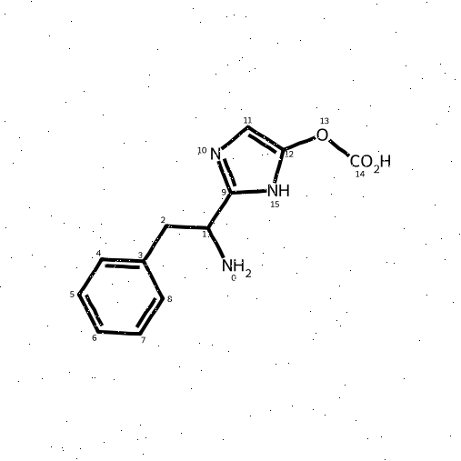 NC(Cc1ccccc1)c1ncc(OC(=O)O)[nH]1